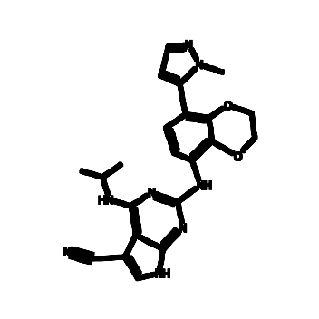 CC(C)Nc1nc(Nc2ccc(-c3ccnn3C)c3c2OCCO3)nc2[nH]cc(C#N)c12